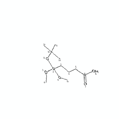 CO[Si](CCCC(=O)O)(OC)OC(C)(C)C